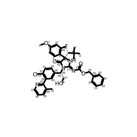 COc1ccc([C@@]2(CC(C)(C)C)NC(=NC(=O)OCc3ccccc3)N([C@H](CO)c3ccc(Cl)c(-c4ncccc4C)c3)C2=O)c(F)c1